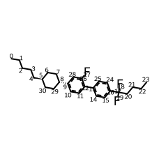 CCCCC[C@H]1CC[C@H](c2ccc(-c3ccc(C(F)(F)CCCC)cc3)c(F)c2)CC1